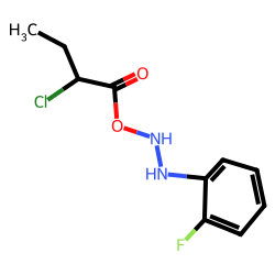 CCC(Cl)C(=O)ONNc1ccccc1F